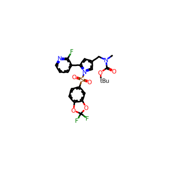 CN(Cc1cc(-c2cccnc2F)n(S(=O)(=O)c2ccc3c(c2)OC(F)(F)O3)c1)C(=O)OC(C)(C)C